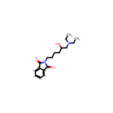 CCN(CC)CC(O)CCCCN1C(=O)c2ccccc2C1=O